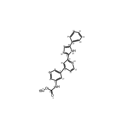 CC(C)(C)OC(=O)Nc1cncc(-c2ccnc(-c3ncc(-c4ccccc4)[nH]3)c2)c1